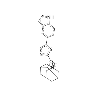 [O-][N+]12CC3CC(C1)C(Oc1ncc(-c4ccc5[nH]ccc5c4)s1)C(C3)C2